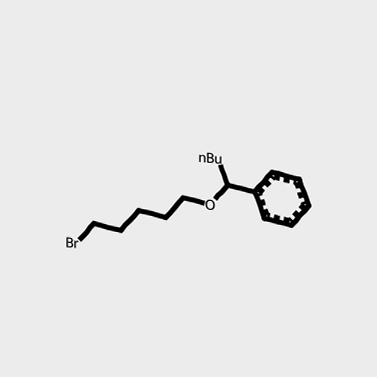 CCCCC(OCCCCCBr)c1ccccc1